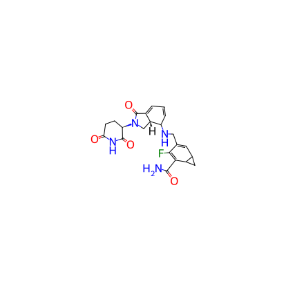 NC(=O)C1=C(F)C(CNC2C=CC=C3C(=O)N([C@@H]4CCC(=O)NC4=O)C[C@H]32)=CC2CC12